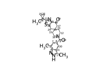 Cc1[nH]nc2c(C)cc(C(=O)N3CCC4(CC3)CC(=O)c3nc(C5(C)CC5)sc3C4)cc12